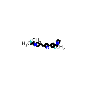 C=C(c1ccc(-c2ccc(CCC3CCN(CC(F)(CC)CC)CC3)cn2)cc1F)N1CCCC1